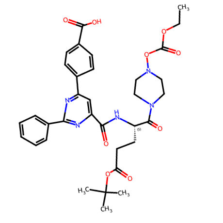 CCOC(=O)ON1CCN(C(=O)[C@H](CCC(=O)OC(C)(C)C)NC(=O)c2cc(-c3ccc(C(=O)O)cc3)nc(-c3ccccc3)n2)CC1